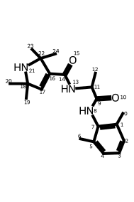 Cc1cccc(C)c1NC(=O)C(C)NC(=O)C1=CC(C)(C)NC1(C)C